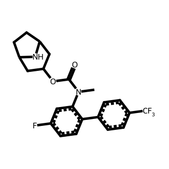 CN(C(=O)OC1CC2CCC(C1)N2)c1cc(F)ccc1-c1ccc(C(F)(F)F)cc1